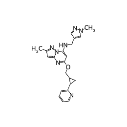 Cc1cc2nc(OCC3CC3c3ccccn3)cc(NCc3cnn(C)c3)n2n1